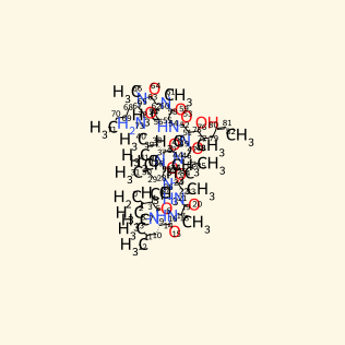 C=C(C)[C@@H](C)C(=O)N(C)[C@@H](CC(C)C)C(=O)N[C@H](C)C(=O)N[C@@H](C)C(=O)N(C)[C@H](CC(C)C)C(=O)N(C)[C@H](CC(C)C)C(=O)N(C)[C@H](C(=O)N(C)C(C(=O)N[C@H](CC)C(=O)N(C)CC(=O)N(C)[C@@H](CCCC)C(N)=O)[C@@H](O)[C@@H](C)C/C=C\C)C(C)C